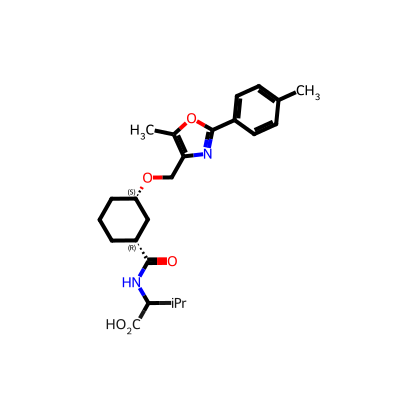 Cc1ccc(-c2nc(CO[C@H]3CCC[C@@H](C(=O)NC(C(=O)O)C(C)C)C3)c(C)o2)cc1